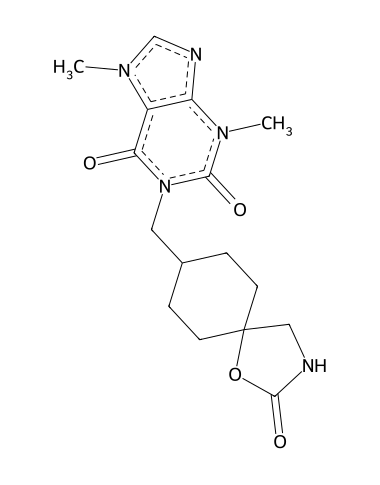 Cn1cnc2c1c(=O)n(CC1CCC3(CC1)CNC(=O)O3)c(=O)n2C